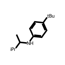 CC(C)C(C)Nc1ccc(C(C)(C)C)cc1